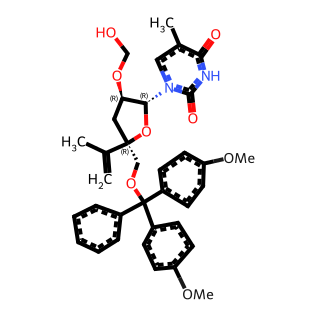 C=C(C)[C@@]1(COC(c2ccccc2)(c2ccc(OC)cc2)c2ccc(OC)cc2)C[C@@H](OCO)[C@H](n2cc(C)c(=O)[nH]c2=O)O1